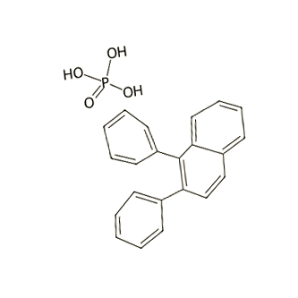 O=P(O)(O)O.c1ccc(-c2ccc3ccccc3c2-c2ccccc2)cc1